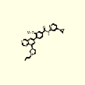 CC=CN1CCC(c2cc(-c3ccc(C(=O)Nc4cc(C5CC5)ccn4)cc3OC)cc3cncnc23)C1